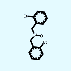 CCc1ccccc1C[S+]([O-])Cc1ccccc1CC